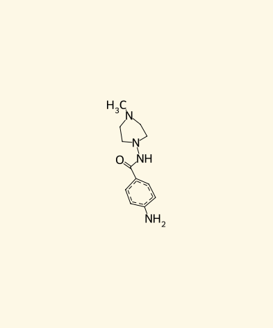 CN1CCN(NC(=O)c2ccc(N)cc2)CC1